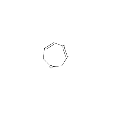 [C]1=NC=CCOC1